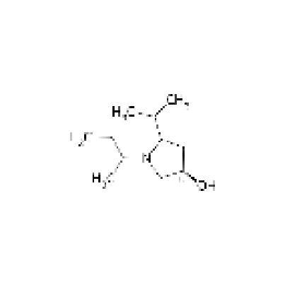 CCC(C)N1C[C@H](O)CC1C(C)C